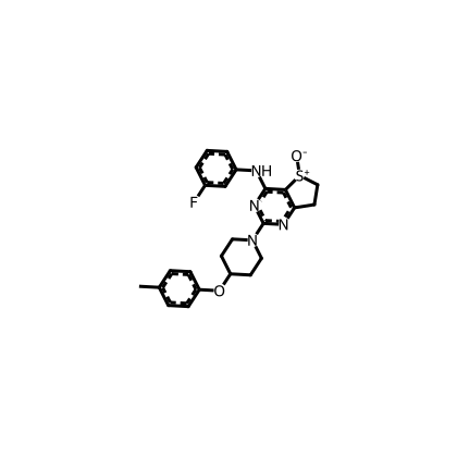 Cc1ccc(OC2CCN(c3nc4c(c(Nc5cccc(F)c5)n3)[S+]([O-])CC4)CC2)cc1